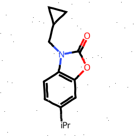 CC(C)c1ccc2c(c1)oc(=O)n2CC1CC1